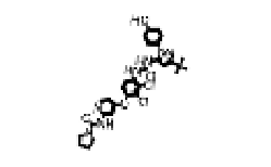 CC(C)(C)c1cc(NC(=O)Nc2ccc(Oc3ccnc(NC(=O)N4CCCC4)c3)c(Cl)c2Cl)n(-c2ccc(O)cc2)n1